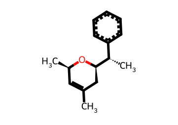 CC1=C[C@@H](C)O[C@@H]([C@@H](C)c2ccccc2)C1